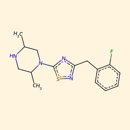 CC1CN(c2nc(Cc3ccccc3F)ns2)C(C)CN1